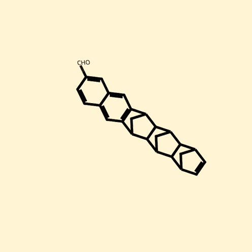 O=Cc1ccc2cc3c(cc2c1)C1CC3C2C3CC(C4C5C=CC(C5)C34)C12